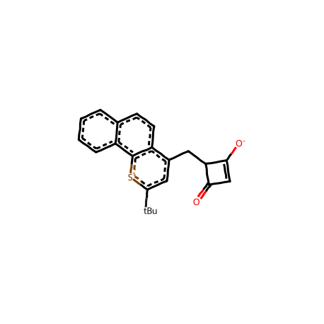 CC(C)(C)c1cc(CC2C(=O)C=C2[O-])c2ccc3ccccc3c2[s+]1